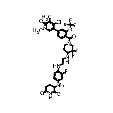 Cc1c(-c2ccc(C(=O)N3CCC(NCCNc4ccc(NC5CCC(=O)NC5=O)cc4F)C(F)(F)C3)c(OC(F)(F)F)c2)cn(C)c(=O)c1C